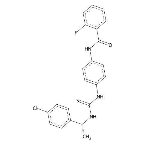 C[C@@H](NC(=S)Nc1ccc(NC(=O)c2ccccc2F)cc1)c1ccc(Cl)cc1